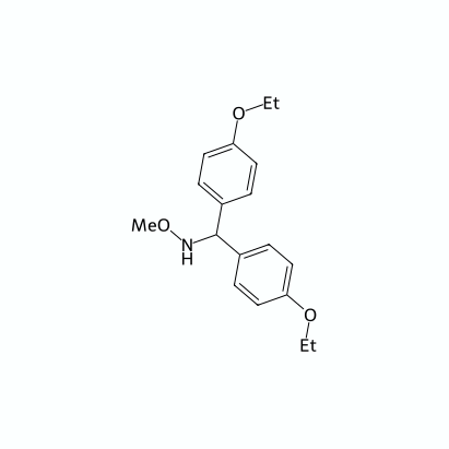 CCOc1ccc(C(NOC)c2ccc(OCC)cc2)cc1